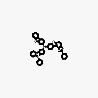 c1ccc(-c2nc3ccc4oc5cc(N(c6ccc7c(c6)oc6ccccc67)c6ccc7c(c6)c6ccccc6n7-c6ccccc6)ccc5c4c3o2)cc1